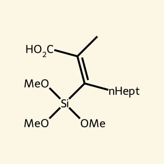 CCCCCCCC(=C(C)C(=O)O)[Si](OC)(OC)OC